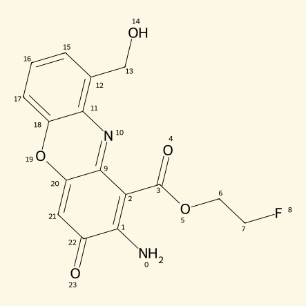 Nc1c(C(=O)OCCF)c2nc3c(CO)cccc3oc-2cc1=O